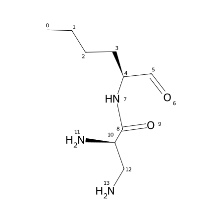 CCCC[C@@H](C=O)NC(=O)[C@H](N)CN